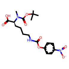 CN(C(=O)OC(C)(C)C)[C@@H](CCCCNC(=O)Oc1ccc([N+](=O)[O-])cc1)C(=O)O